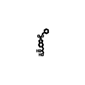 O=C(OCc1ccccc1)n1cc2ccc(CC(O)CO)cc2c1